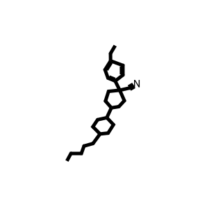 CCCCCC1CCC(C2CCC(C#N)(c3ccc(CC)cc3)CC2)CC1